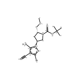 COC[C@H]1C[C@H](n2nc(Br)c(C#N)c2N)CN1C(=O)OC(C)(C)C